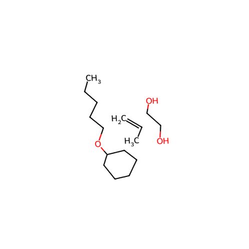 C=CC.CCCCCOC1CCCCC1.OCCO